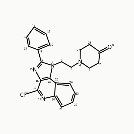 O=C1CCN(CCn2c(-c3ccccc3)nc3c(Cl)nc4ccccc4c32)CC1